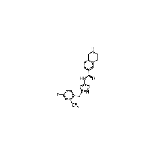 O=C(Nc1nnc(Cc2ccc(F)cc2C(F)(F)F)s1)c1ccc2c(c1)CCNC2